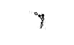 CN(C)[C@@H]1CCN(C(=O)Nc2ccc3c(c2)Cn2cc(-c4ccc(C#N)cc4)cc2-c2nccn2-3)C1